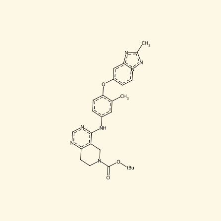 Cc1nc2cc(Oc3ccc(Nc4ncnc5c4CN(C(=O)OC(C)(C)C)CC5)cc3C)ccn2n1